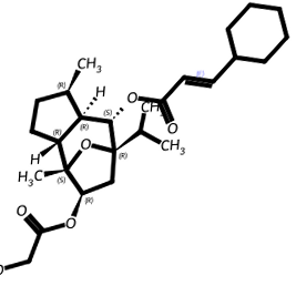 CC(C)[C@@]12C[C@@H](OC(=O)CO)[C@@](C)(O1)[C@@H]1CC[C@@H](C)[C@H]1[C@@H]2OC(=O)/C=C/C1CCCCC1